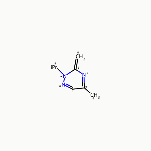 C=C1N=C(C)C=NN1C(C)C